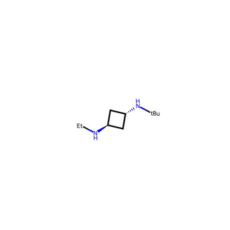 CCN[C@H]1C[C@H](NC(C)(C)C)C1